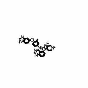 Cc1cc(Nc2ncnc3cccc(OC4CCN(C)CC4(F)F)c23)ccc1Oc1ccc2c(c1)ncn2C